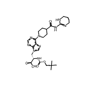 CC(C)(C)COC(=O)N[C@@H](Cn1cnc2c(N3CCC(C(=O)NC4=NCCCN4)CC3)ncnc21)C(=O)O